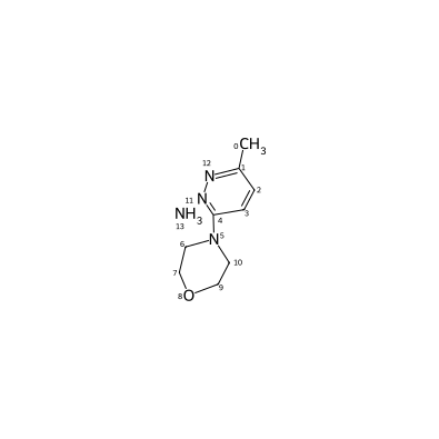 Cc1ccc(N2CCOCC2)nn1.N